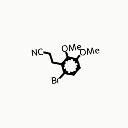 COc1ccc(Br)c(CCC#N)c1OC